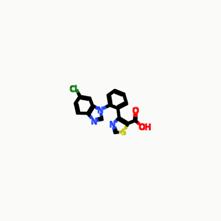 O=C(O)c1scnc1-c1ccccc1-n1cnc2ccc(Cl)cc21